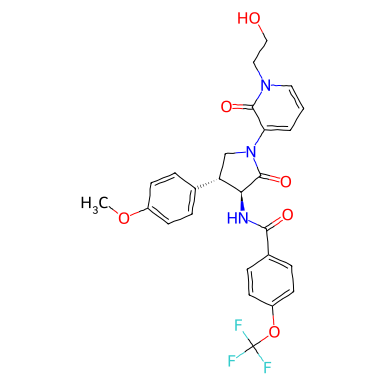 COc1ccc([C@@H]2CN(c3cccn(CCO)c3=O)C(=O)[C@H]2NC(=O)c2ccc(OC(F)(F)F)cc2)cc1